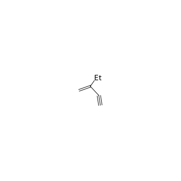 C#CC(=C)CC